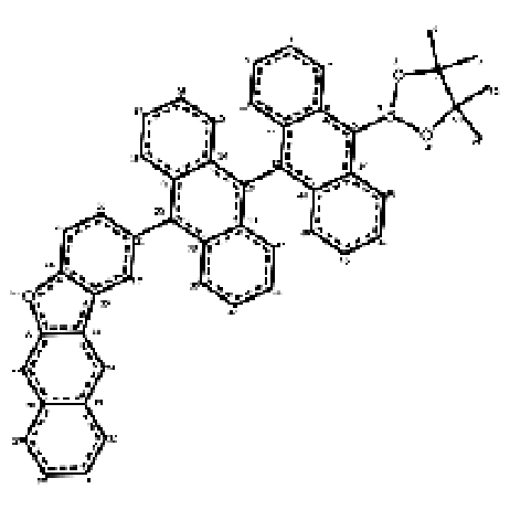 CC1(C)OB(c2c3ccccc3c(-c3c4ccccc4c(-c4ccc5oc6cc7ccccc7cc6c5c4)c4ccccc34)c3ccccc23)OC1(C)C